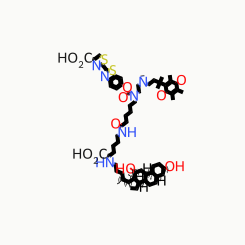 CC1=C(C)C(=O)C(C(C)(C)CCN(C)CCN(CCCCCC(=O)NCCCCC(NCCC[C@@H](C)[C@H]2CC[C@H]3[C@@H]4CC[C@@H]5C[C@H](O)CC[C@]5(C)[C@H]4C[C@H](O)[C@]23C)C(=O)O)C(=O)Oc2ccc3nc(C4=NC(C(=O)O)CS4)sc3c2)=C(C)C1=O